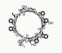 CCCC[C@H]1C(=O)N(C)CC(=O)N[C@@H](CC(O)=P)C(=O)N[C@@H](C(C)C)C(=O)N(C)[C@@H](Cc2ccccc2)C(=O)N[C@@H](Cc2ccc(O)cc2)C(=O)N2CCC[C@]2(C)C(=O)N[C@@H](Cc2c[nH]c3ccccc23)C(=O)N[C@@H](Cc2ccc(O)cc2)C(=O)N[C@@H](CC(C)C)C(=O)N[C@H](C(=O)NCC(N)=O)CSCC(=O)N[C@@H](Cc2ccccc2)C(=O)N(C)[C@@H](Cc2ccccc2)C(=O)N1C